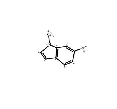 [C-]#[N+]c1ccc2ccn(C)c2c1